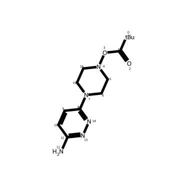 CC(C)(C)C(=O)ON1CCN(c2ccc(N)nn2)CC1